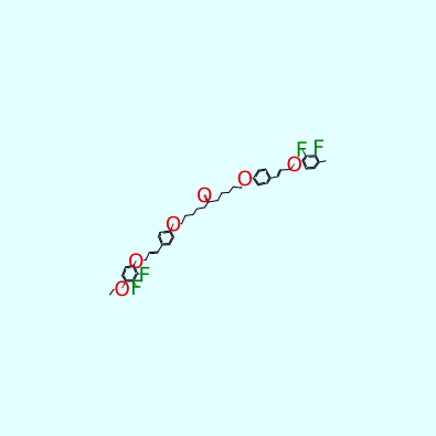 CCOc1ccc(OC/C=C/c2ccc(OCCCCCC(=O)CCCCCOc3ccc(/C=C/COc4ccc(C)c(F)c4F)cc3)cc2)c(F)c1F